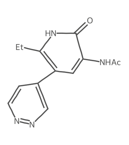 CCc1[nH]c(=O)c(NC(C)=O)cc1-c1ccnnc1